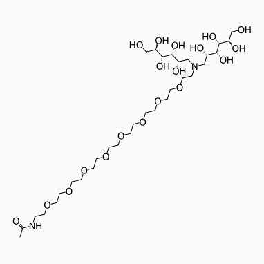 CC(=O)NCCOCCOCCOCCOCCOCCOCCOCCOCCN(C[C@H](O)[C@@H](O)[C@H](O)[C@H](O)CO)C[C@H](O)[C@@H](O)[C@H](O)[C@H](O)CO